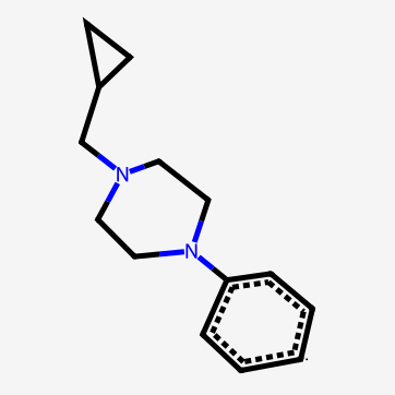 [c]1ccc(N2CCN(CC3CC3)CC2)cc1